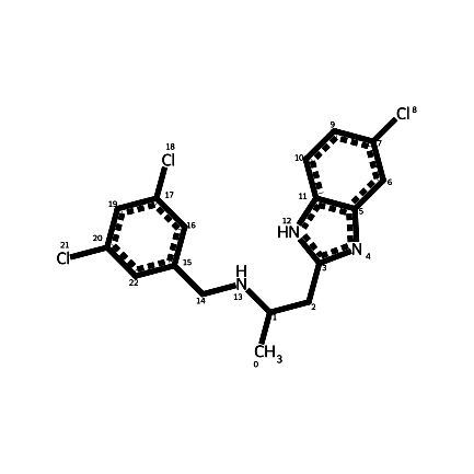 CC(Cc1nc2cc(Cl)ccc2[nH]1)NCc1cc(Cl)cc(Cl)c1